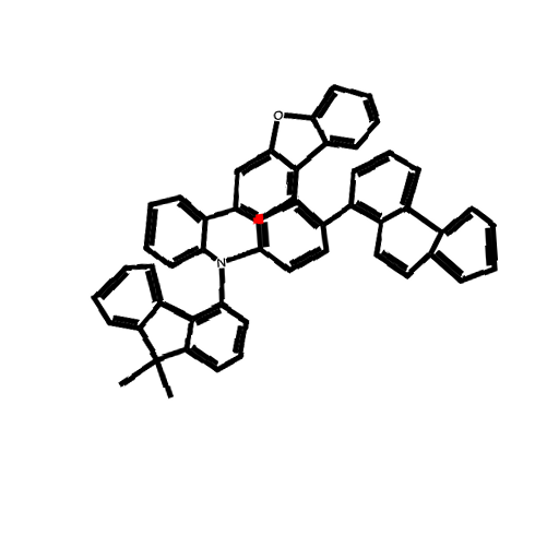 CC1(C)c2ccccc2-c2c(N(c3ccc(-c4cccc5c4ccc4ccccc45)cc3)c3ccccc3-c3ccc4c(c3)oc3ccccc34)cccc21